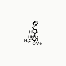 COC(=O)[C@H](C)NC(=O)C1CCC(Cn2ccnc2)N1